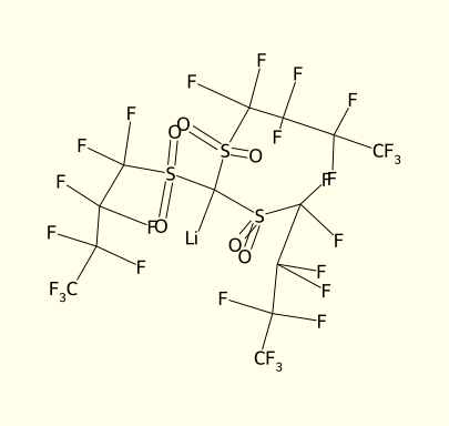 [Li][C](S(=O)(=O)C(F)(F)C(F)(F)C(F)(F)C(F)(F)F)(S(=O)(=O)C(F)(F)C(F)(F)C(F)(F)C(F)(F)F)S(=O)(=O)C(F)(F)C(F)(F)C(F)(F)C(F)(F)F